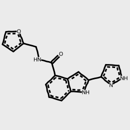 O=C(NCc1ccco1)c1cccc2[nH]c(-c3cc[nH]n3)cc12